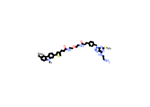 CCCSc1nc(NCCN)c2nnn(Cc3ccc(CCC(=O)NCCOCCNC(=O)CCc4csc(-c5ccc6c7cc(CNC)ccc7n(CC)c6c5)c4)cc3)c2n1